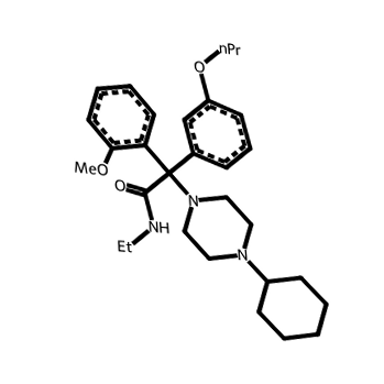 CCCOc1cccc(C(C(=O)NCC)(c2ccccc2OC)N2CCN(C3CCCCC3)CC2)c1